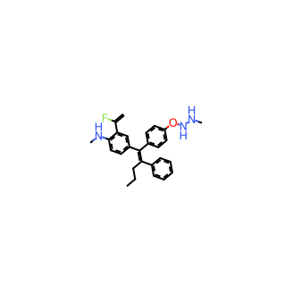 C=C(F)c1cc(/C(=C(\CCC)c2ccccc2)c2ccc(ONNC)cc2)ccc1NC